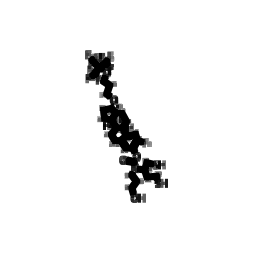 C[C@]12CC[C@@H]3c4cc(F)c(OC(=O)N(CCCO)C(CS)CCS)cc4CC[C@H]3[C@@H]1CC[C@@H]2OCCCOC(C(F)(F)F)(C(F)(F)F)C(F)(F)F